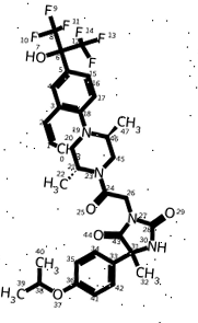 C/C=C\c1cc(C(O)(C(F)(F)F)C(F)(F)F)ccc1N1C[C@@H](C)N(C(=O)CN2C(=O)NC(C)(c3ccc(OC(C)C)cc3)C2=O)C[C@@H]1C